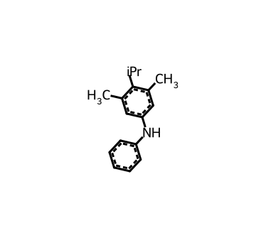 Cc1cc(Nc2ccccc2)cc(C)c1C(C)C